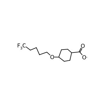 [O]C(=O)C1CCC(OCCCCC(F)(F)F)CC1